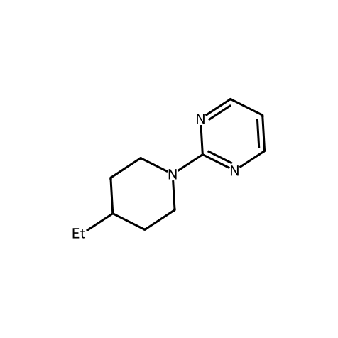 [CH2]CC1CCN(c2ncccn2)CC1